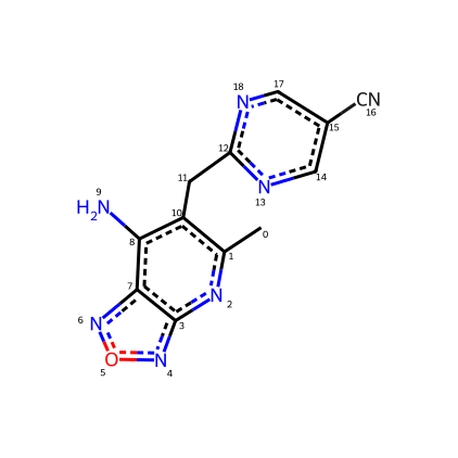 Cc1nc2nonc2c(N)c1Cc1ncc(C#N)cn1